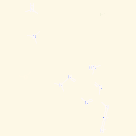 CCCCNc1nc(N=[N+]=[N-])nc2cn(Cc3ccc(N4CCCNCC4)cc3OC)nc12.Cl